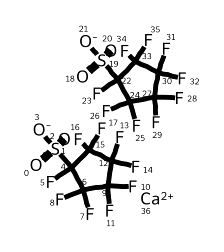 O=S(=O)([O-])C1(F)C(F)(F)C(F)(F)C(F)(F)C1(F)F.O=S(=O)([O-])C1(F)C(F)(F)C(F)(F)C(F)(F)C1(F)F.[Ca+2]